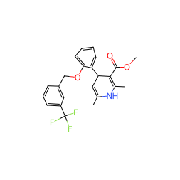 COC(=O)C1=C(C)NC(C)=CC1c1ccccc1OCc1cccc(C(F)(F)F)c1